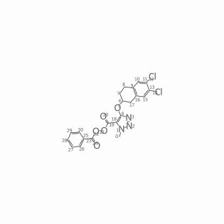 Cn1nnc(OC2CCc3cc(Cl)c(Cl)cc3C2)c1C(=O)OOC(=O)c1ccccc1